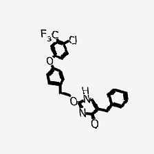 O=c1nc(OCCc2ccc(Oc3ccc(Cl)c(C(F)(F)F)c3)cc2)[nH]cc1Cc1ccccc1